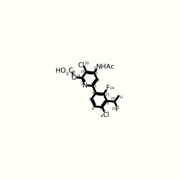 CC(=O)Nc1cc(-c2ccc(Cl)c(C(C)F)c2F)nc(OC(=O)O)c1Cl